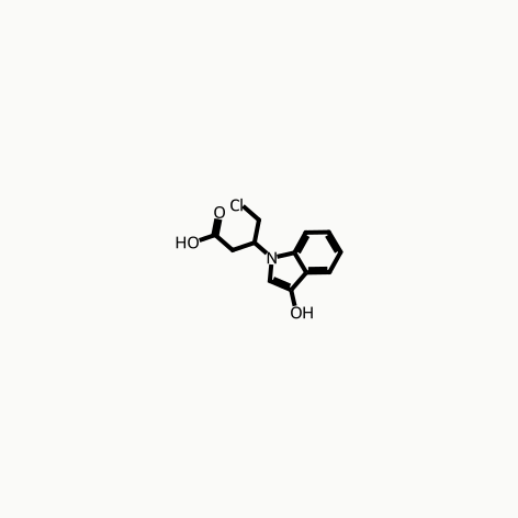 O=C(O)CC(CCl)n1cc(O)c2ccccc21